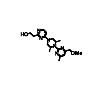 COCc1cc(C)nc(N2[C@H](C)CN(c3ccnc(CCO)n3)C[C@@H]2C)n1